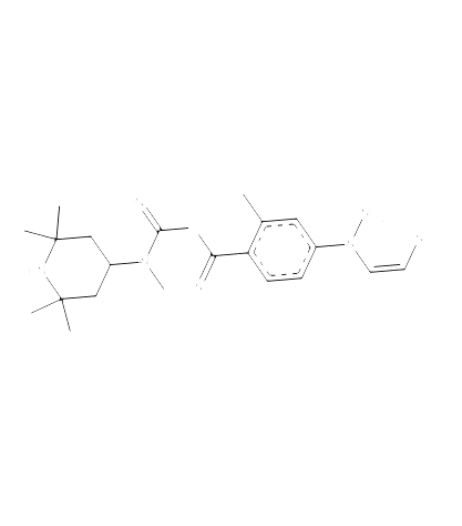 Cc1cc(N(N)/C=C\N)ccc1C(=N)SC(=N)N(C)C1CC(C)(C)NC(C)(C)C1